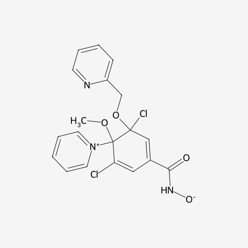 COC1([n+]2ccccc2)C(Cl)=CC(C(=O)N[O-])=CC1(Cl)OCc1ccccn1